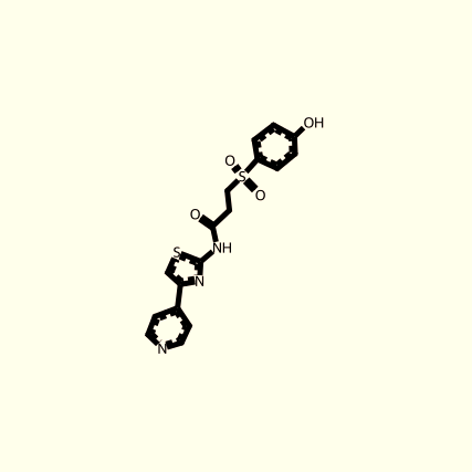 O=C(CCS(=O)(=O)c1ccc(O)cc1)Nc1nc(-c2ccncc2)cs1